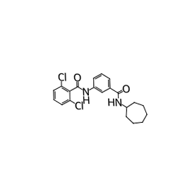 O=C(NC1CCCCCC1)c1cccc(NC(=O)c2c(Cl)cccc2Cl)c1